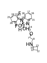 OS1(O)N(CCOCCNC2CCC2)c2ccccc2N1c1c(F)cccc1F